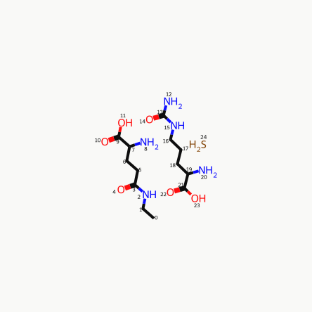 CCNC(=O)CCC(N)C(=O)O.NC(=O)NCCCC(N)C(=O)O.S